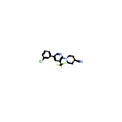 N#CC1CCN(c2ncc(-c3cccc(Cl)c3)cc2C(F)(F)F)CC1